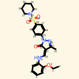 CCOc1ccccc1NC=C1C(=O)N(c2ccc(S(=O)(=O)N3CCCCC3)cc2)N=C1C